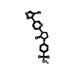 CC(C)n1cnnc1-c1ccc(N2CCN(c3ccc(S(C)(=O)=O)cc3)C2=O)nc1